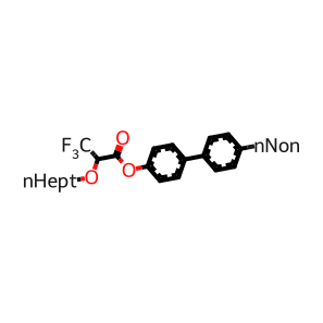 CCCCCCCCCc1ccc(-c2ccc(OC(=O)C(OCCCCCCC)C(F)(F)F)cc2)cc1